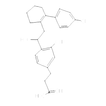 C=C(C)CCc1ccc(C(C)CC2=C(c3ccc(Cl)cc3)CCCC2)c(C)c1